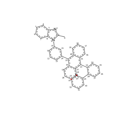 Cc1nc2ccccc2n1-c1cccc(-c2c3ccccc3c(-c3ccccc3-c3ccccn3)c3ccccc23)c1